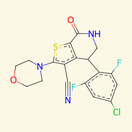 N#Cc1c(N2CCOCC2)sc2c1C(c1c(F)cc(Cl)cc1F)CNC2=O